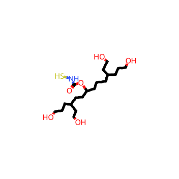 O=C(NS)OC(CCCC(CCO)CCCO)CCC(CCO)CCCO